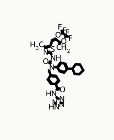 C=C1OC(F)(F)C(F)(F)O/C1=C/c1sc(NC(=O)N(Cc2ccc(C(=O)Nc3nn[nH]n3)cc2)c2ccc(C3CCCCC3)cc2)nc1C